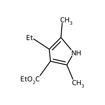 CCOC(=O)c1c(C)[nH]c(C)c1CC